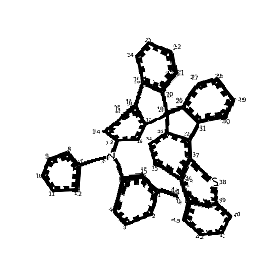 Cc1cccc(N(c2ccccc2)c2ccc3c(c2)C2(c4ccccc4-3)c3ccccc3-c3c2ccc2c3sc3ccccc32)c1